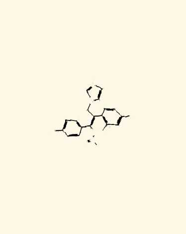 O=[N+]([O-])O/C(=C(/Cn1ccnc1)c1ccc(Cl)cc1Cl)c1ccc(Cl)cc1